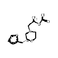 O=C(Cl)OC(CN1CCO[C@H](Cc2cccs2)C1)C(F)(F)F